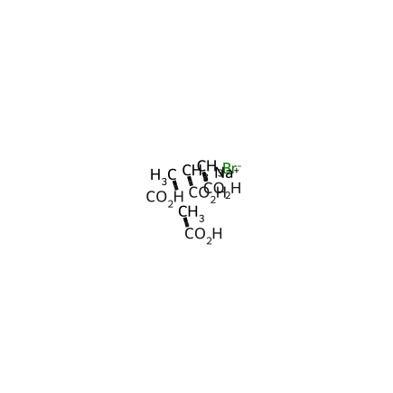 CC(=O)O.CC(=O)O.CC(=O)O.CC(=O)O.[Br-].[Na+]